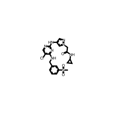 CS(=O)(=O)c1cccc(CNc2nc(Nc3cnn(CC(=O)NC4CC4)c3)ncc2Cl)c1